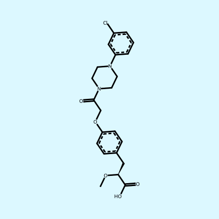 CO[C@@H](Cc1ccc(OCC(=O)N2CCN(c3cccc(Cl)c3)CC2)cc1)C(=O)O